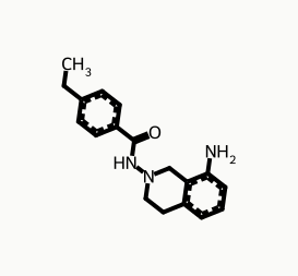 CCc1ccc(C(=O)NN2CCc3cccc(N)c3C2)cc1